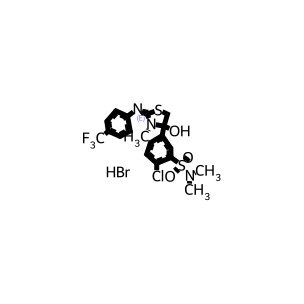 Br.CN1/C(=N\c2ccc(C(F)(F)F)cc2)SCC1(O)c1ccc(Cl)c(S(=O)(=O)N(C)C)c1